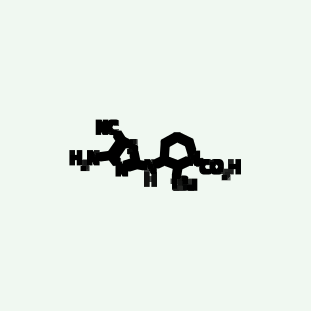 CC(C)(C)C1C(Nc2nc(N)c(C#N)s2)CCCN1C(=O)O